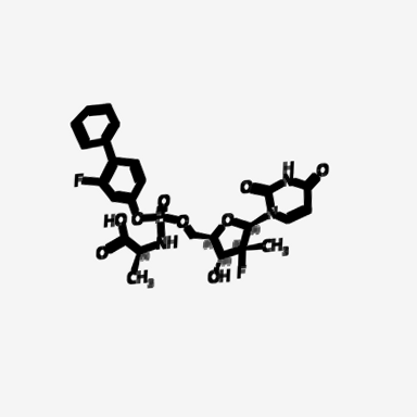 C[C@H](NP(=O)(OC[C@H]1O[C@@H](n2ccc(=O)[nH]c2=O)[C@](C)(F)[C@@H]1O)Oc1ccc(-c2ccccc2)c(F)c1)C(=O)O